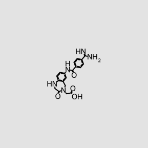 N=C(N)c1ccc(C(=O)Nc2ccc3c(c2)CN(CC(=O)O)C(=O)CN3)cc1